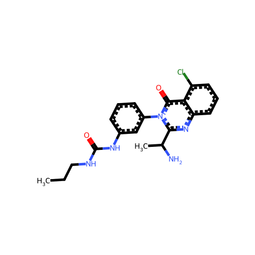 CCCNC(=O)Nc1cccc(-n2c(C(C)N)nc3cccc(Cl)c3c2=O)c1